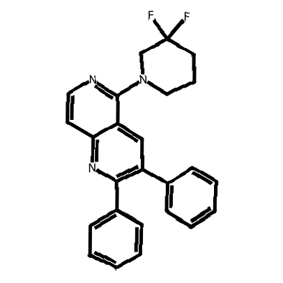 FC1(F)CCCN(c2nccc3nc(-c4cc[c]cc4)c(-c4ccccc4)cc23)C1